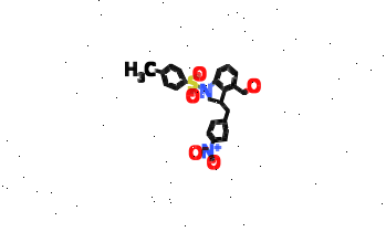 Cc1ccc(S(=O)(=O)N2CC(Cc3ccc([N+](=O)[O-])cc3)c3c(C=O)cccc32)cc1